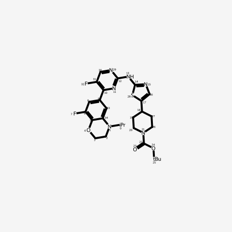 CC(C)N1CCOc2c(F)cc(-c3nc(Nc4ncc(C5CCN(C(=O)OC(C)(C)C)CC5)s4)ncc3F)cc21